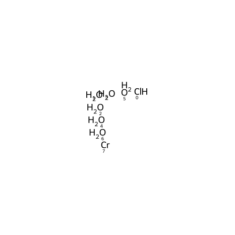 Cl.O.O.O.O.O.O.[Cr]